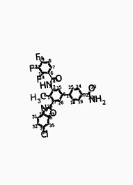 Cc1c(NC(=O)c2ccc(F)c(F)c2F)cc(-c2ccc(C(N)=O)cc2)cc1-c1nc2ccc(Cl)cc2o1